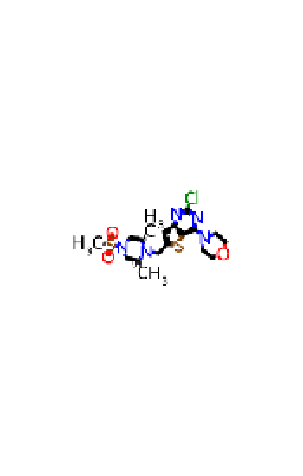 C[C@@H]1CN(S(C)(=O)=O)C[C@H](C)N1Cc1cc2nc(Cl)nc(N3CCOCC3)c2s1